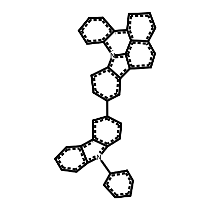 c1ccc(-n2c3ccccc3c3cc(-c4ccc5c(c4)c4ccc6cccc7c8ccccc8n5c4c67)ccc32)cc1